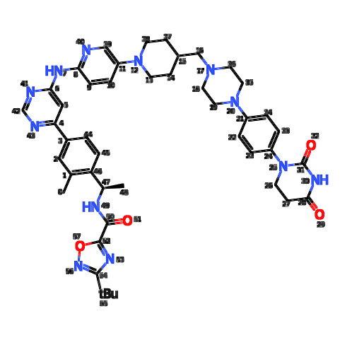 Cc1cc(-c2cc(Nc3ccc(N4CCC(CN5CCN(c6ccc(N7CCC(=O)NC7=O)cc6)CC5)CC4)cn3)ncn2)ccc1[C@@H](C)NC(=O)c1nc(C(C)(C)C)no1